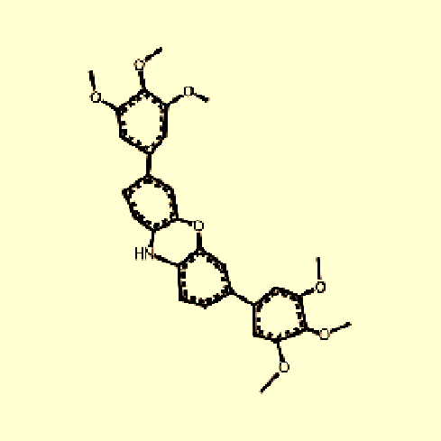 COc1cc(-c2ccc3c(c2)Oc2cc(-c4cc(OC)c(OC)c(OC)c4)ccc2N3)cc(OC)c1OC